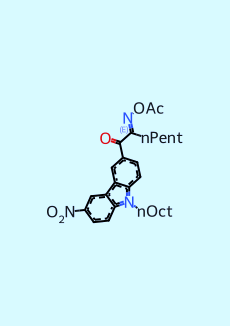 CCCCCCCCn1c2ccc(C(=O)/C(CCCCC)=N/OC(C)=O)cc2c2cc([N+](=O)[O-])ccc21